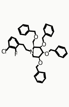 Fc1c(Cl)cccc1CCN1C[C@H](OCc2ccccc2)[C@@H](OCc2ccccc2)[C@H](OCc2ccccc2)[C@@H]1COCc1ccccc1